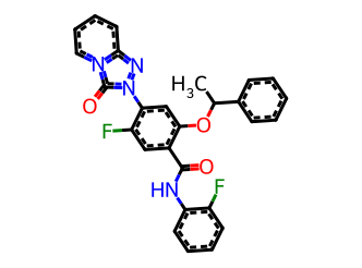 CC(Oc1cc(-n2nc3ccccn3c2=O)c(F)cc1C(=O)Nc1ccccc1F)c1ccccc1